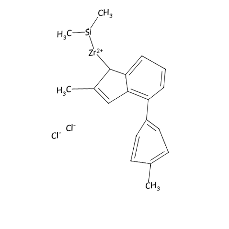 CC1=Cc2c(-c3ccc(C)cc3)cccc2[CH]1[Zr+2][Si](C)C.[Cl-].[Cl-]